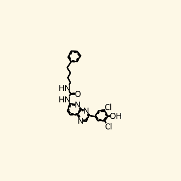 O=C(NCCCCc1ccccc1)Nc1ccc2ncc(-c3cc(Cl)c(O)c(Cl)c3)nc2n1